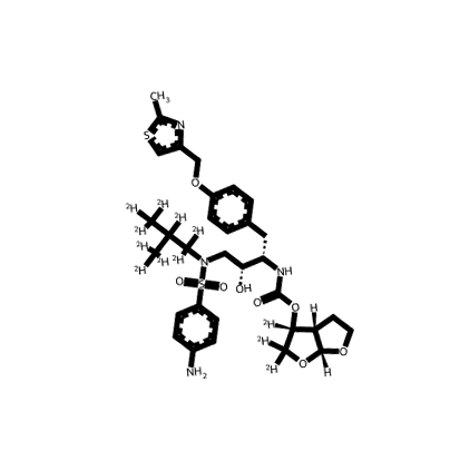 [2H]C([2H])([2H])C([2H])(C([2H])([2H])[2H])C([2H])([2H])N(C[C@@H](O)[C@H](Cc1ccc(OCc2csc(C)n2)cc1)NC(=O)O[C@]1([2H])[C@@H]2CCO[C@@H]2OC1([2H])[2H])S(=O)(=O)c1ccc(N)cc1